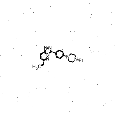 C=Cc1ccc2nnc(-c3ccc(N4CCN(CC)CC4)cc3)n2n1